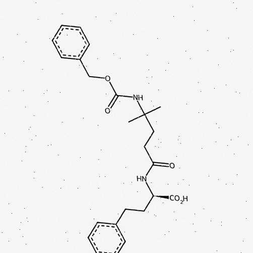 CC(C)(CCC(=O)N[C@H](CCc1ccccc1)C(=O)O)NC(=O)OCc1ccccc1